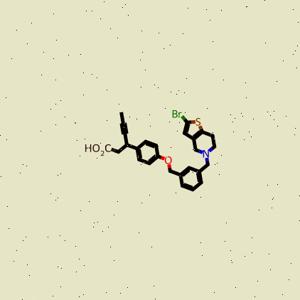 CC#CC(CC(=O)O)c1ccc(OCc2cccc(CN3CCc4sc(Br)cc4C3)c2)cc1